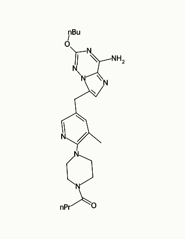 CCCCOc1nc(N)c2ncc(Cc3cnc(N4CCN(C(=O)CCC)CC4)c(C)c3)n2n1